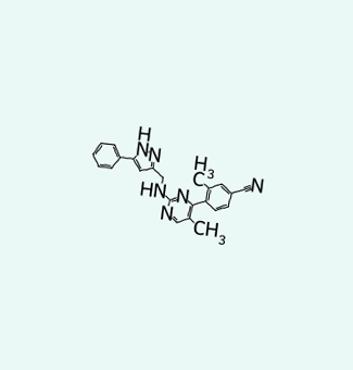 Cc1cc(C#N)ccc1-c1nc(NCc2cc(-c3ccccc3)[nH]n2)ncc1C